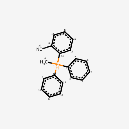 C[PH](c1ccccc1)(c1ccccc1)c1ccccc1C#N